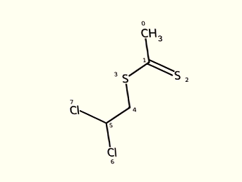 CC(=S)SCC(Cl)Cl